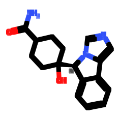 NC(=O)C1CCC(O)([C@@H]2c3ccccc3-c3cncn32)CC1